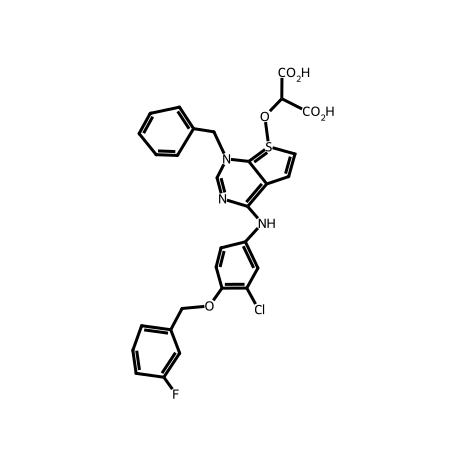 O=C(O)C(OS1=C2C(=C(Nc3ccc(OCc4cccc(F)c4)c(Cl)c3)N=CN2Cc2ccccc2)C=C1)C(=O)O